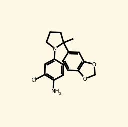 CC1(c2ccc3c(c2)OCO3)CCCN1c1ccc(N)c(Cl)c1